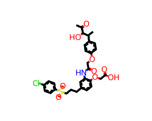 CC(=O)C(O)C(C)c1ccc(OCC(=O)Nc2cc(CCCS(=O)(=O)c3ccc(Cl)cc3)ccc2OCC(=O)O)cc1